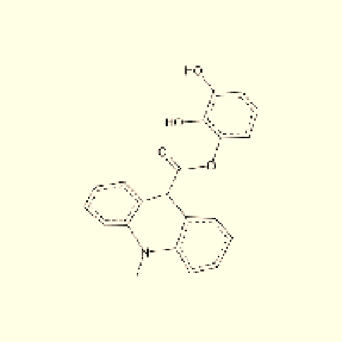 CN1c2ccccc2C(C(=O)Oc2cccc(O)c2O)c2ccccc21